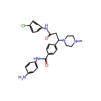 CN1CCN(C(CC(=O)Nc2ccc(Cl)cc2)c2ccc(C(=O)Nc3ccc(N)cc3)cc2)CC1